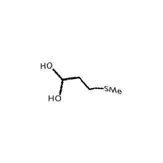 CSCCC(O)O